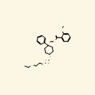 CCOCCNS(=O)(=O)N[C@H]1CC[C@](CNC(=O)c2ccccc2OC)(c2ccccc2)CC1